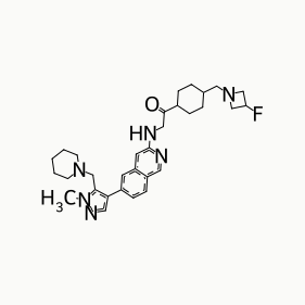 Cn1ncc(-c2ccc3cnc(NCC(=O)C4CCC(CN5CC(F)C5)CC4)cc3c2)c1CN1CCCCC1